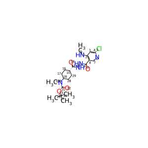 CNc1cc(Cl)ncc1C(=O)NNC(=O)[C@H]1CC[C@H](N(C)C(=O)OC(C)(C)C)CC1